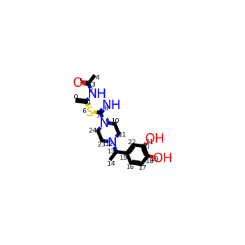 C=C(NC(C)=O)SC(=N)N1CCN(C(C)c2ccc(O)c(O)c2)CC1